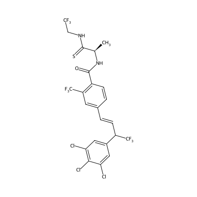 C[C@@H](NC(=O)c1ccc(/C=C/C(c2cc(Cl)c(Cl)c(Cl)c2)C(F)(F)F)cc1C(F)(F)F)C(=S)NCC(F)(F)F